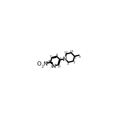 CC1CCN(c2ccc([N+](=O)[O-])nc2)CC1